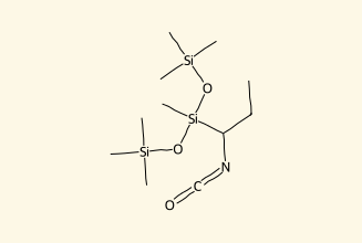 CCC(N=C=O)[Si](C)(O[Si](C)(C)C)O[Si](C)(C)C